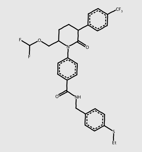 CCSc1ccc(CNC(=O)c2ccc(N3C(=O)C(c4ccc(C(F)(F)F)cc4)CCC3COC(F)F)cc2)cc1